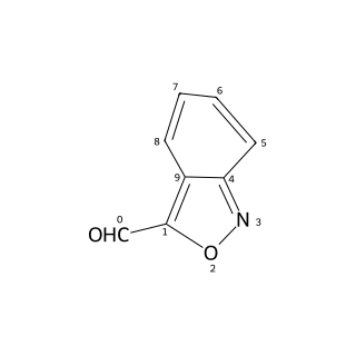 O=Cc1onc2ccccc12